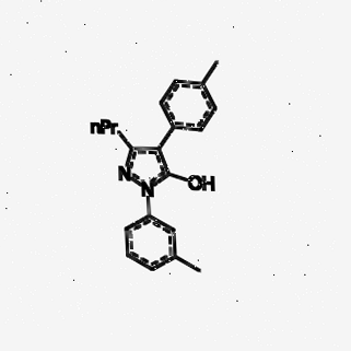 CCCc1nn(-c2cccc(C)c2)c(O)c1-c1ccc(C)cc1